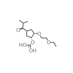 CCOCCO[C@@H]1CC(C(=O)C(C)C)C[C@H]1ON(O)O